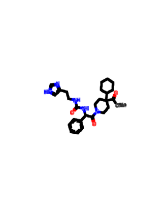 COC(=O)C1(C2CCCCC2)CCN(C(=O)C(NC(=O)NCCc2c[nH]cn2)c2ccccc2)CC1